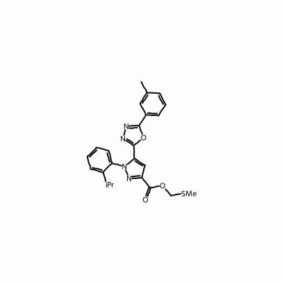 CSCOC(=O)c1cc(-c2nnc(-c3cccc(C)c3)o2)n(-c2ccccc2C(C)C)n1